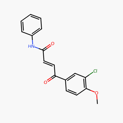 COc1ccc(C(=O)C=CC(=O)Nc2ccccc2)cc1Cl